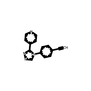 C#Cc1ccc(-n2cnnc2-c2ccncc2)cc1